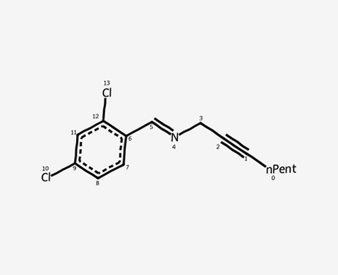 CCCCCC#CCN=Cc1ccc(Cl)cc1Cl